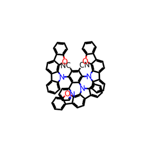 N#Cc1c(C#N)c(-n2c3ccccc3c3ccc4c5ccccc5oc4c32)c(-n2c3ccccc3c3ccc4c5ccccc5oc4c32)c(-c2ccccn2)c1-n1c2ccccc2c2ccc3c4ccccc4oc3c21